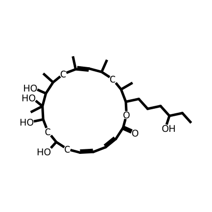 CCC(O)CCCC1OC(=O)C=CC=CCC(O)CC(O)C(C)(O)C(O)C(C)CC(C)=CC(C)CC1C